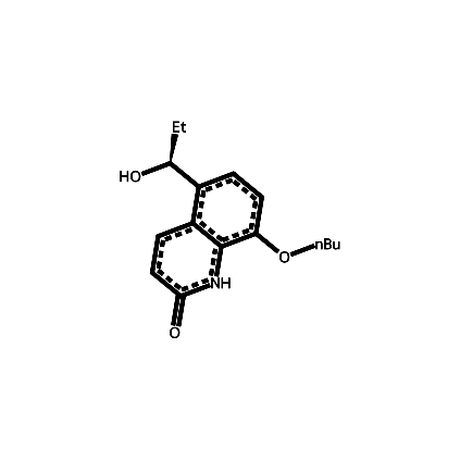 CCCCOc1ccc([C@@H](O)CC)c2ccc(=O)[nH]c12